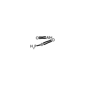 O=BP.[O]=[AlH]